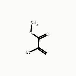 C=C(CC)C(=O)O[SiH3]